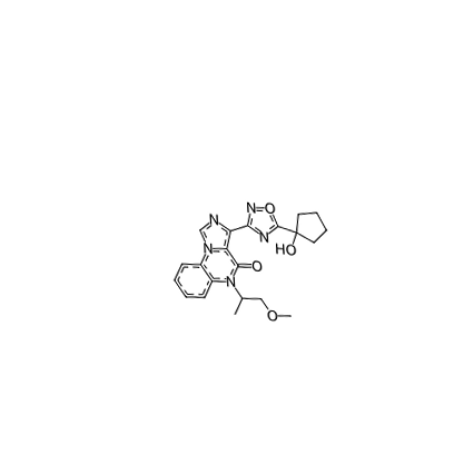 COCC(C)n1c(=O)c2c(-c3noc(C4(O)CCCC4)n3)ncn2c2ccccc21